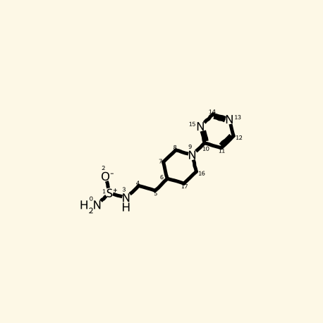 N[S+]([O-])NCCC1CCN(c2ccncn2)CC1